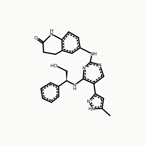 Cc1cc(-c2cnc(Nc3ccc4c(c3)CCC(=O)N4)nc2N[C@H](CO)c2ccccc2)n[nH]1